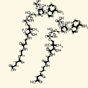 CC(C)(COP(=O)(O)OP(=O)(O)OC[C@H]1O[C@@H](n2cnc3c(N)ncnc32)[C@H](O)[C@@H]1OP(=O)(O)O)[C@@H](O)C(=O)NCCC(=O)NCCSC(=O)CC(=O)O.CC(C)(COP(=O)(O)OP(=O)(O)OC[C@H]1O[C@@H](n2cnc3c(N)ncnc32)[C@H](O)[C@@H]1OP(=O)(O)O)[C@@H](O)C(=O)NCCC(=O)NCCSC(=O)CCC(=O)O